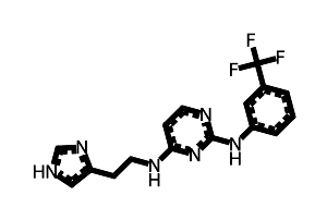 FC(F)(F)c1cccc(Nc2nccc(NCCc3c[nH]cn3)n2)c1